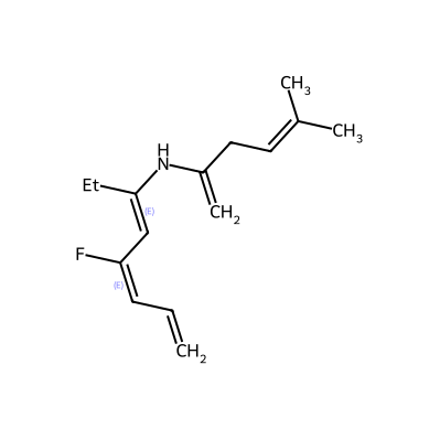 C=C/C=C(F)\C=C(/CC)NC(=C)CC=C(C)C